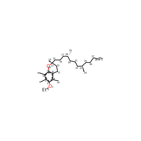 CCOc1c(C)c(C)c2c(c1C)CC[C@@](C)(CCC[C@H](C)CCC[C@H](C)CCCC(C)C)O2